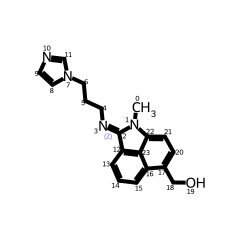 CN1/C(=N\CCCn2ccnc2)c2cccc3c(CO)ccc1c23